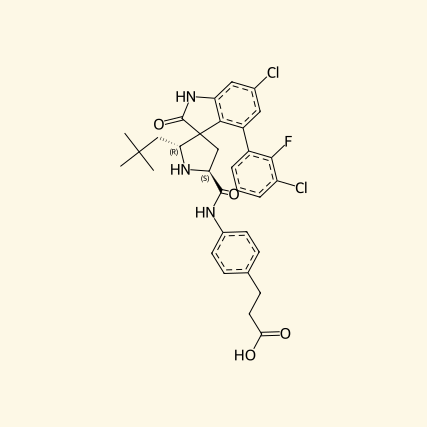 CC(C)(C)C[C@H]1N[C@H](C(=O)Nc2ccc(CCC(=O)O)cc2)CC12C(=O)Nc1cc(Cl)cc(-c3cccc(Cl)c3F)c12